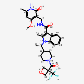 COc1cc(C)[nH]c(=O)c1CNC(=O)c1c(C)n([C@H](C)C2CCN(C(=O)C3(C(F)(F)F)COC3)CC2)c2ccccc12